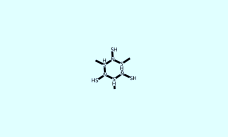 C[SH]1N(S)[SH](C)N(S)[SH](C)N1S